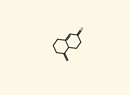 C=C1CCCC2=CC(=O)CCC12